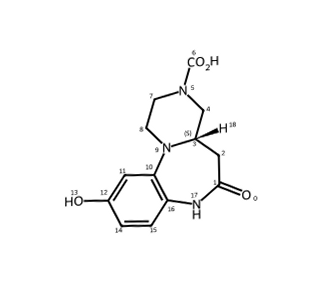 O=C1C[C@H]2CN(C(=O)O)CCN2c2cc(O)ccc2N1